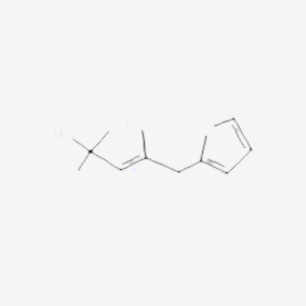 C/C(=C\C(C)(C)S)Cc1ccco1